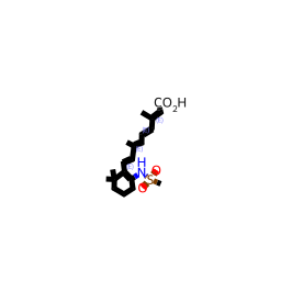 CC(/C=C/C1=C(NS(C)(=O)=O)CCCC1(C)C)=C\C=C\C(C)=C\C(=O)O